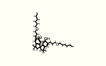 CCCCCCOCCCc1cc2c(cc1O)C1(CC2(C)C)CC(C)(C)c2cc(CCCOCCCCCC)c(O)cc21